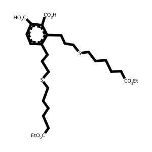 CCOC(=O)CCCCCSCCCc1ccc(C(=O)O)c(C(=O)O)c1CCCSCCCCCC(=O)OCC